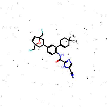 CC1(C)CC=C(c2cc(C3CC4(CF)C=CC(CF)(C3)O4)ccc2NC(=O)c2ncc(C#N)[nH]2)CC1